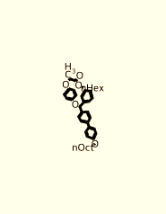 CCCCCCCCOc1ccc(-c2ccc(C(Oc3ccc(OC(C)C(=O)OCCCCCC)cc3)c3ccccc3)cc2)cc1